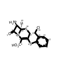 N[C@@H]1C(=O)N2C(C(=O)O)=C(Sc3ccccc3CCl)CS[C@H]12